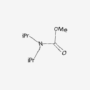 [CH2]OC(=O)N(C(C)C)C(C)C